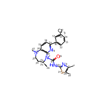 Cc1nc(NC(=O)N2c3nc(-c4cccc(C(F)(F)F)c4)ccc3N(C)CC[C@@H]2C)sc1C